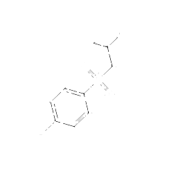 CC(O)CS(=O)(=O)c1ccc(F)cc1